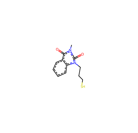 Cn1c(=O)c2ccccc2n(CCCS)c1=O